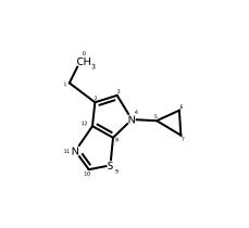 CCc1cn(C2CC2)c2scnc12